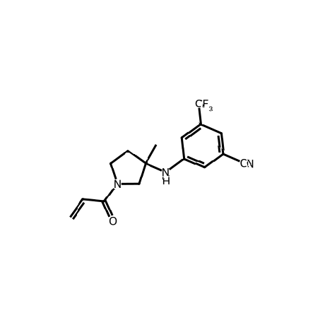 C=CC(=O)N1CCC(C)(Nc2cc(C#N)cc(C(F)(F)F)c2)C1